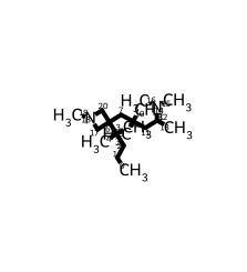 CCCC(C)(C)C1(CC(C)(C)CC(C)N(C)C)CN(C)C1